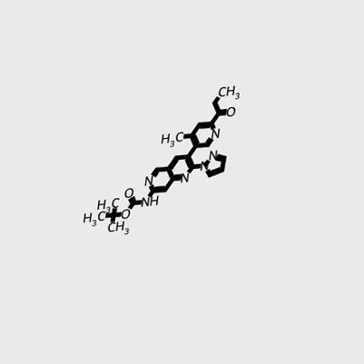 CCC(=O)c1cc(C)c(-c2cc3cnc(NC(=O)OC(C)(C)C)cc3nc2-n2cccn2)cn1